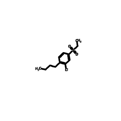 CCCCc1ccc(S(=O)(=O)CC)cc1Cl